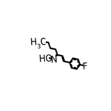 CCCCC(C=Cc1ccc(F)cc1)=NO